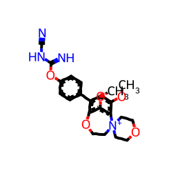 COc1cc(-c2ccc(OC(=N)NC#N)cc2)c2c(OC)c1[N+]1(CCOCC1)CCO2